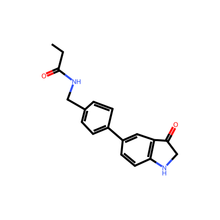 CCC(=O)NCc1ccc(-c2ccc3c(c2)C(=O)CN3)cc1